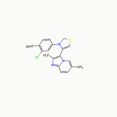 COc1ccc(N2CSC=C2c2c(C)nc3ccc(C)cn23)cc1Cl